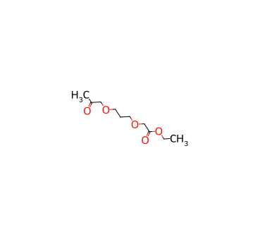 CCOC(=O)COCCCOCC(C)=O